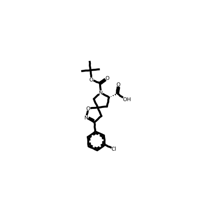 CC(C)(C)OC(=O)N1CC2(CC(c3cccc(Cl)c3)=NO2)C[C@H]1C(=O)O